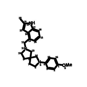 COc1ccc(N2CCC3(CCN(Cc4cccc5[nH]c(C)cc45)C3)C2)cc1